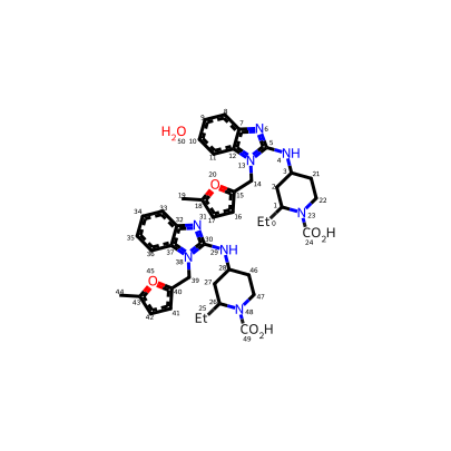 CCC1CC(Nc2nc3ccccc3n2Cc2ccc(C)o2)CCN1C(=O)O.CCC1CC(Nc2nc3ccccc3n2Cc2ccc(C)o2)CCN1C(=O)O.O